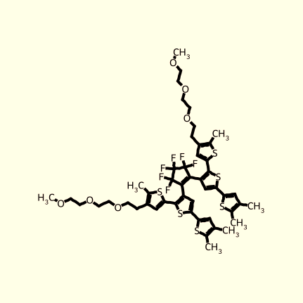 COCCOCCOCCc1cc(-c2sc(-c3cc(C)c(C)s3)cc2C2=C(c3cc(-c4cc(C)c(C)s4)sc3-c3cc(CCOCCOCCOC)c(C)s3)C(F)(F)C(F)(F)C2(F)F)sc1C